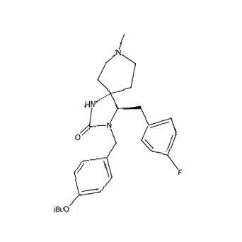 CC(C)COc1ccc(CN2C(=O)NC3(CCN(C)CC3)[C@H]2Cc2ccc(F)cc2)cc1